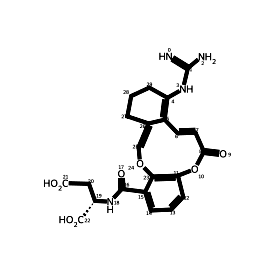 N=C(N)NC1=C2/C=C/C(=O)Oc3cccc(C(=O)N[C@@H](CC(=O)O)C(=O)O)c3O/C=C\2CCC1